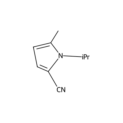 Cc1ccc(C#N)n1C(C)C